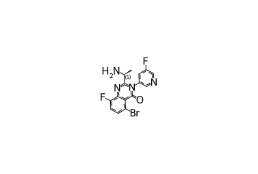 C[C@H](N)c1nc2c(F)ccc(Br)c2c(=O)n1-c1cncc(F)c1